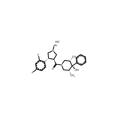 CCCN1C[C@@H](C(=O)N2C[C@@H](C)[C@@](O)(c3ccccc3)[C@@H](C)C2)[C@H](c2ccc(F)cc2F)C1.Cl